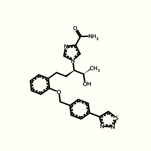 C[C@H](O)[C@@H](CCc1ccccc1OCc1ccc(-c2csnn2)cc1)n1cnc(C(N)=O)c1